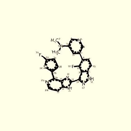 CN(C)c1cncc(-c2ccc3[nH]nc(-c4nc5c(-c6ccc(F)s6)nccc5[nH]4)c3c2F)c1